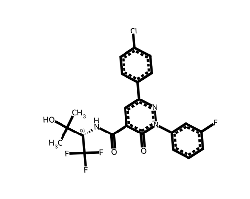 CC(C)(O)[C@H](NC(=O)c1cc(-c2ccc(Cl)cc2)nn(-c2cccc(F)c2)c1=O)C(F)(F)F